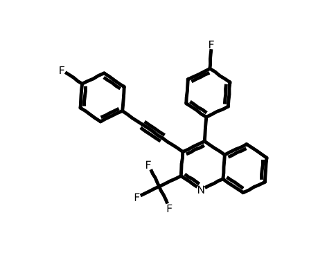 Fc1ccc(C#Cc2c(C(F)(F)F)nc3ccccc3c2-c2ccc(F)cc2)cc1